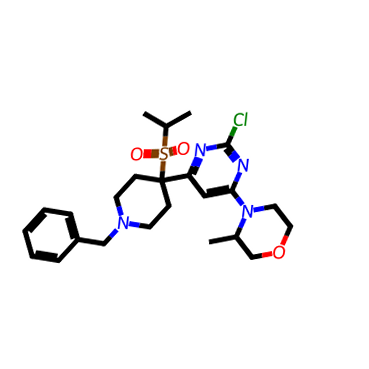 CC1COCCN1c1cc(C2(S(=O)(=O)C(C)C)CCN(Cc3ccccc3)CC2)nc(Cl)n1